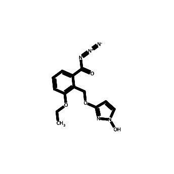 CCOc1cccc(C(=O)N=[N+]=[N-])c1COc1ccn(O)n1